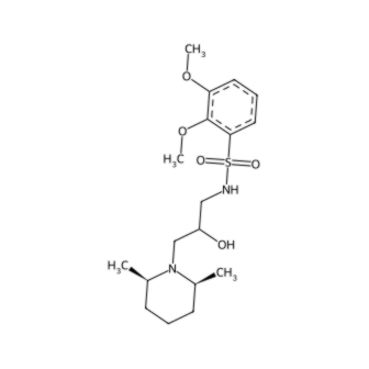 COc1cccc(S(=O)(=O)NCC(O)CN2[C@H](C)CCC[C@@H]2C)c1OC